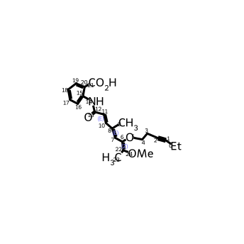 CCC#CCCOC(/C=C(C)/C=C/C(=O)Nc1ccccc1C(=O)O)=C(/C)OC